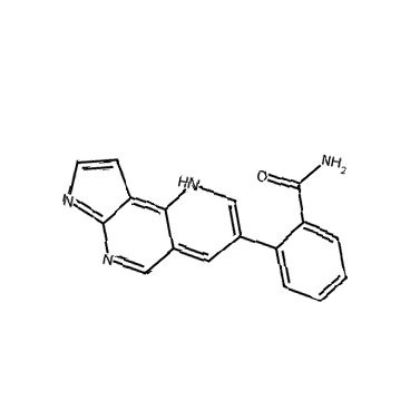 NC(=O)c1ccccc1-c1c[nH]c2c(cnc3nccc32)c1